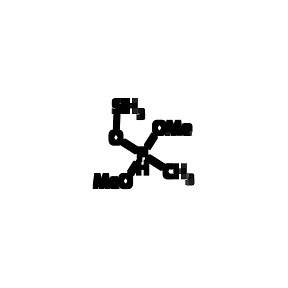 CO[PH](C)(OC)O[SiH3]